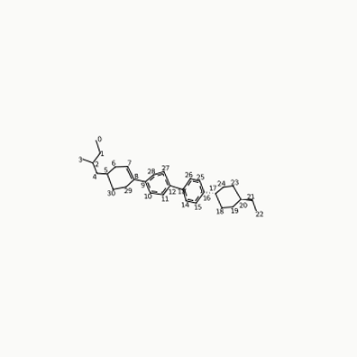 CCC(C)CC1CC=C(c2ccc(-c3ccc([C@H]4CC[C@H](CC)CC4)cc3)cc2)CC1